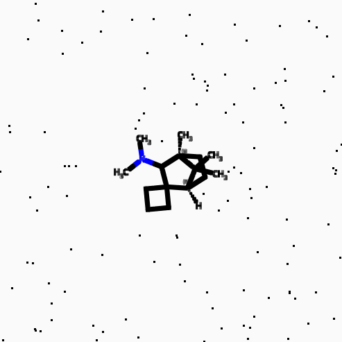 CN(C)C1C2(CCC2)[C@@H]2CC[C@@]1(C)C2(C)C